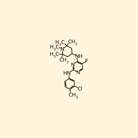 Cc1ccc(Nc2ncc(F)c(NC3CC(C)(C)N(C)C(C)(C)C3)n2)cc1Cl